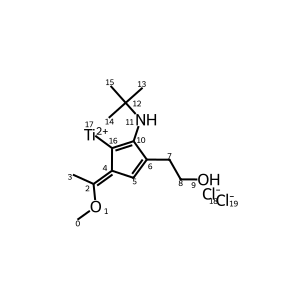 COC(C)=C1C=C(CCO)C(NC(C)(C)C)=[C]1[Ti+2].[Cl-].[Cl-]